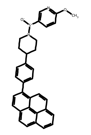 COc1ccc([S+]([O-])N2CCC(c3ccc(-c4ccc5ccc6cccc7ccc4c5c67)cc3)CC2)cn1